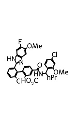 CCCC(NC(=O)c1ccc(-c2c(Cl)cccc2-c2nc3cc(OC)c(F)cc3[nH]2)c(C(=O)O)c1)c1ccc(Cl)cc1OC